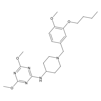 CCCCOc1cc(CN2CCC(Nc3nc(OC)nc(OC)n3)CC2)ccc1OC